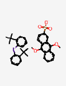 CC(C)(C)c1ccccc1[I+]c1ccccc1C(C)(C)C.COc1c2ccccc2c(OC)c2cc(S(=O)(=O)[O-])ccc12